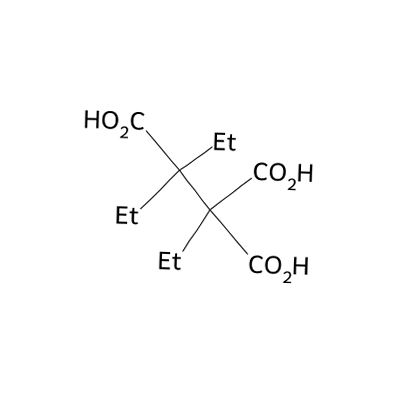 CCC(CC)(C(=O)O)C(CC)(C(=O)O)C(=O)O